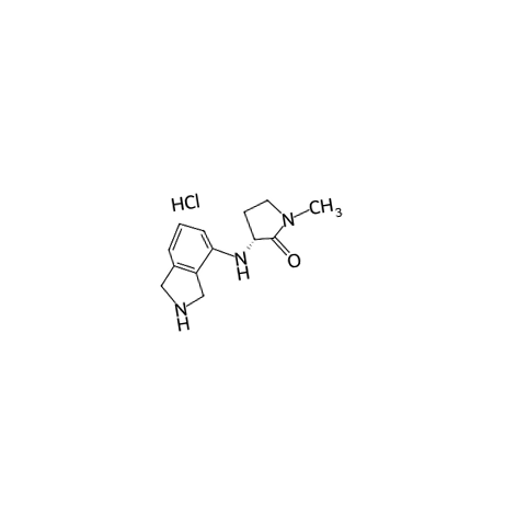 CN1CC[C@@H](Nc2cccc3c2CNC3)C1=O.Cl